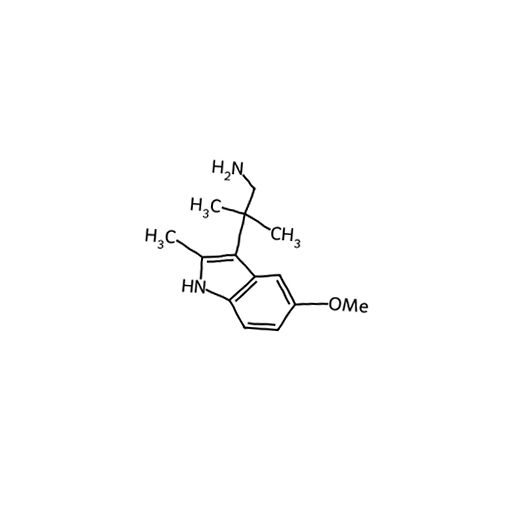 COc1ccc2[nH]c(C)c(C(C)(C)CN)c2c1